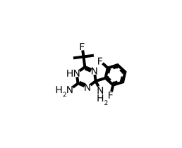 CC(C)(F)C1=NC(N)(c2c(F)cccc2F)N=C(N)N1